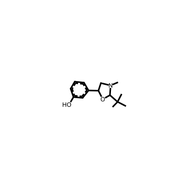 CN1CC(c2cccc(O)c2)OC1C(C)(C)C